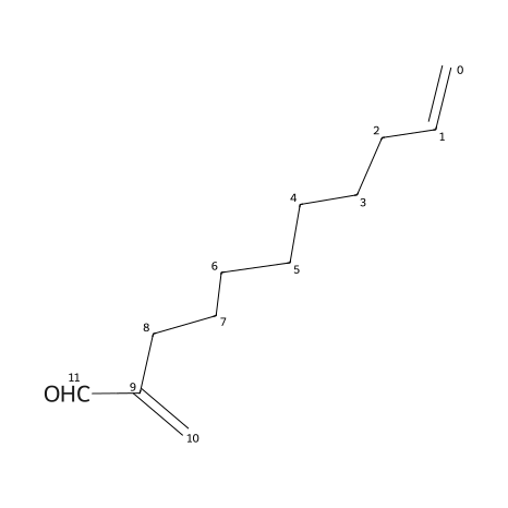 C=CCCCCCCCC(=C)C=O